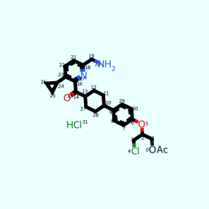 CC(=O)OCC(CCl)Oc1ccc(C2CCC(C(=O)c3nc(CN)ccc3C3CC3)CC2)cc1.Cl